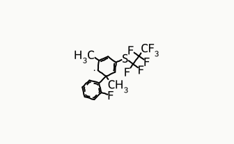 CC1=CC(SC(F)(F)C(F)(F)C(F)(F)F)=CC(C)(c2ccccc2F)[CH]1